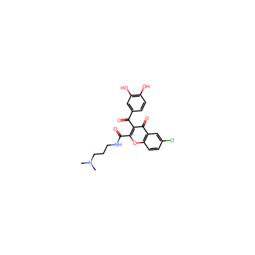 CN(C)CCCNC(=O)c1oc2ccc(Cl)cc2c(=O)c1C(=O)c1ccc(O)c(O)c1